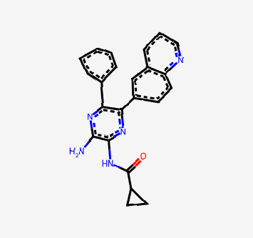 Nc1nc(-c2ccccc2)c(-c2ccc3ncccc3c2)nc1NC(=O)C1CC1